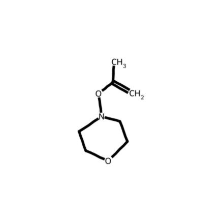 C=C(C)ON1CCOCC1